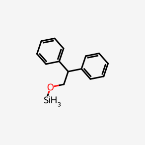 [SiH3]OCC(c1ccccc1)c1ccccc1